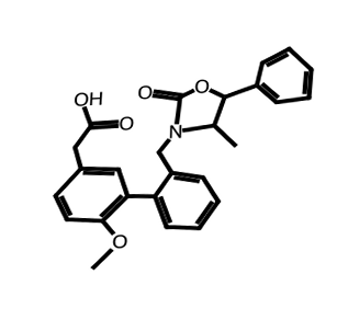 COc1ccc(CC(=O)O)cc1-c1ccccc1CN1C(=O)OC(c2ccccc2)C1C